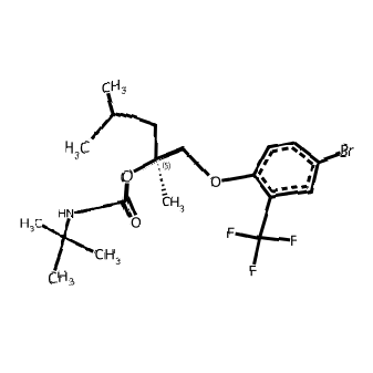 CC(C)C[C@@](C)(COc1ccc(Br)cc1C(F)(F)F)OC(=O)NC(C)(C)C